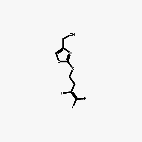 OCc1coc(SCCC(F)=C(F)F)n1